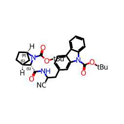 CC(C)(C)OC(=O)N1[C@@H]2CC[C@@H](C2)[C@H]1C(=O)NC(C#N)Cc1ccc2c3ccccc3n(C(=O)OC(C)(C)C)c2c1